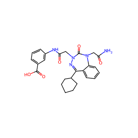 NC(=O)CN1C(=O)N(CC(=O)Nc2cccc(C(=O)O)c2)N=C(C2CCCCC2)c2ccccc21